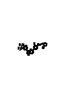 Nc1ncc(-c2cnc3ccc(-c4ccc(OCCN5CCCC5=O)c(F)c4)nn23)cc1C(F)(F)F